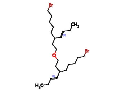 CC/C=C/C(CCCCCBr)CCOCCC(/C=C/CC)CCCCCBr